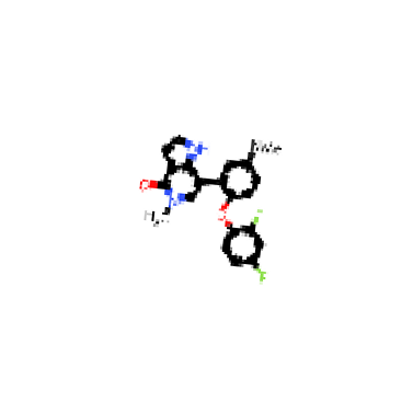 CNc1ccc(Oc2ccc(F)cc2F)c(-c2cn(C)c(=O)c3cc[nH]c23)c1